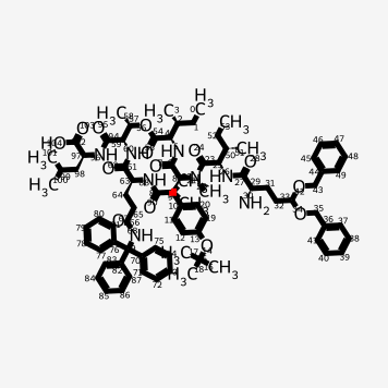 CC[C@H](C)[C@H](NC(=O)[C@H](Cc1ccc(OC(C)(C)C)cc1)N(C)C(=O)[C@@H](NC(=O)[C@@H](N)CCC(OCc1ccccc1)OCc1ccccc1)[C@@H](C)CC)C(=O)O[C@H](C)[C@H](NC(=O)[C@H](CCC(=O)NC(c1ccccc1)(c1ccccc1)c1ccccc1)NC(=O)C(C)C)C(=O)N[C@@H](CC(C)C)C(=O)O